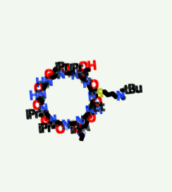 C/C=C/C[C@@H](C)C[C@H]1C(=O)N[C@@H](CC)C(=O)N(C)[C@H](CSCCCCN(C)CC(C)(C)C)C(=O)N(C)[C@@H](CC(C)(C)O)C(=O)N[C@@H](C(C)C)C(=O)N(C)[C@@H](CC(C)C)C(=O)N[C@@H](C)C(=O)N[C@H](C)C(=O)N(C)[C@@H](CC(C)C)C(=O)N(C)[C@@H](CC(C)C)C(=O)N(C)[C@@H](C(C)C)C(=O)N1C